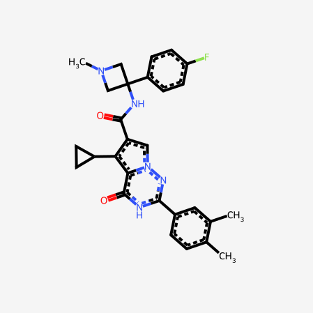 Cc1ccc(-c2nn3cc(C(=O)NC4(c5ccc(F)cc5)CN(C)C4)c(C4CC4)c3c(=O)[nH]2)cc1C